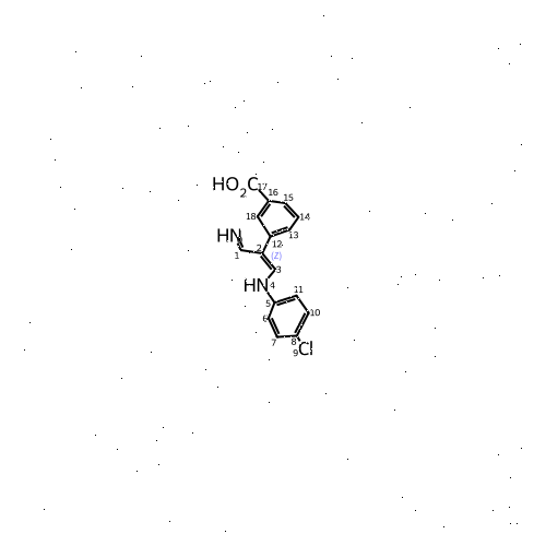 N=C/C(=C\Nc1ccc(Cl)cc1)c1cccc(C(=O)O)c1